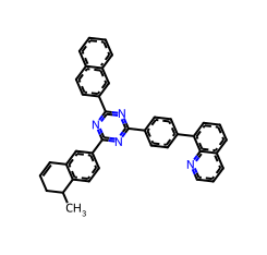 CC1CC=Cc2cc(-c3nc(-c4ccc(-c5cccc6cccnc56)cc4)nc(-c4ccc5ccccc5c4)n3)ccc21